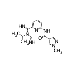 CC(C)N(C=N)C(=N)c1cccc(NC(=O)c2cnn(C)c2)n1